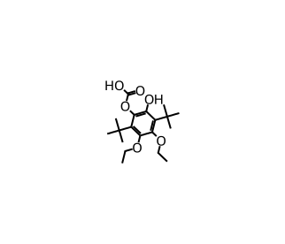 CCOc1c(OCC)c(C(C)(C)C)c(OC(=O)O)c(O)c1C(C)(C)C